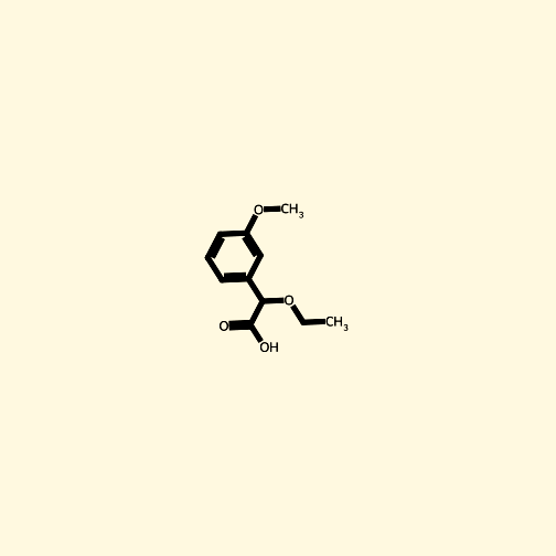 CCOC(C(=O)O)c1cccc(OC)c1